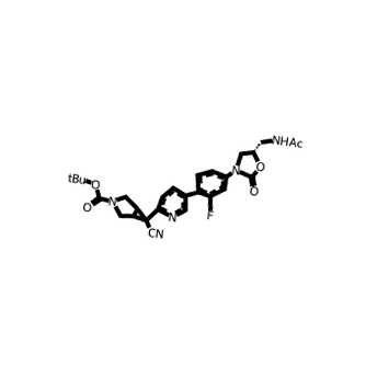 CC(=O)NC[C@H]1CN(c2ccc(-c3ccc(C4(C#N)C5CN(C(=O)OC(C)(C)C)CC54)nc3)c(F)c2)C(=O)O1